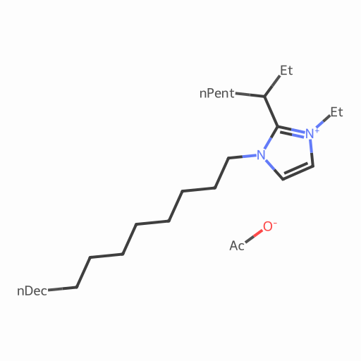 CC(=O)[O-].CCCCCCCCCCCCCCCCCCn1cc[n+](CC)c1C(CC)CCCCC